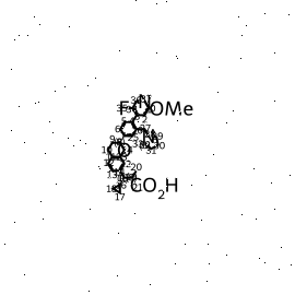 COc1cc(-c2ccc([C@H]3CCc4ccc([C@H](C5CC5)[C@H](C)C(=O)O)cc4O3)cc2CN2CCC[C@@H]2C)c(F)cn1